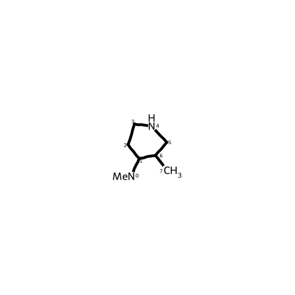 CNC1CCNCC1C